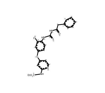 CCOC(=O)Nc1cc(Oc2ccc(NC(=S)NC(=O)Cc3ccccc3)c(Cl)c2)ccn1